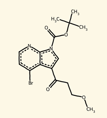 COCCC(=O)c1cn(C(=O)OC(C)(C)C)c2nccc(Br)c12